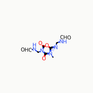 Cn1c(=O)n(CNC=O)c(=O)o/c1=N\CNC=O